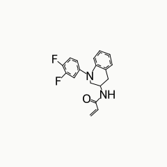 C=CC(=O)NC1Cc2ccccc2N(c2ccc(F)c(F)c2)C1